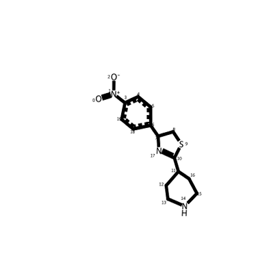 O=[N+]([O-])c1ccc(C2CSC(C3CCNCC3)=N2)cc1